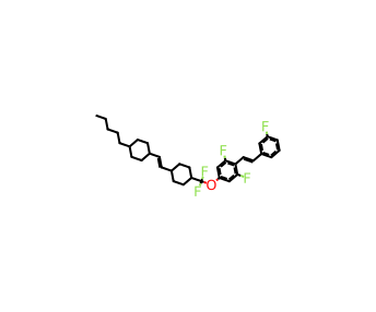 CCCCCC1CCC(/C=C/C2CCC(C(F)(F)Oc3cc(F)c(/C=C/c4cccc(F)c4)c(F)c3)CC2)CC1